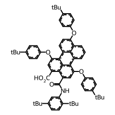 CC(C)(C)c1ccc(Oc2ccc3c4c(Oc5ccc(C(C)(C)C)cc5)cc(C(=O)O)c5c(C(=O)Nc6cc(C(C)(C)C)ccc6C(C)(C)C)cc(Oc6ccc(C(C)(C)C)cc6)c(c6cccc2c36)c54)cc1